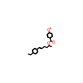 CCc1ccc(C=CCCC(C)OC(=O)c2ccc(OC)cc2)cc1